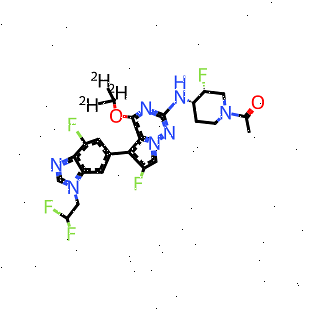 [2H]C([2H])([2H])Oc1nc(N[C@H]2CCN(C(C)=O)C[C@H]2F)nn2cc(F)c(-c3cc(F)c4ncn(CC(F)F)c4c3)c12